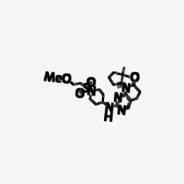 COCCS(=O)(=O)N1CCC(Nc2ncc3c(n2)N([C@H]2CCCC2(C)C)C(=O)CC3)CC1